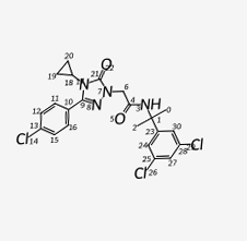 CC(C)(NC(=O)Cn1nc(-c2ccc(Cl)cc2)n(C2CC2)c1=O)c1cc(Cl)cc(Cl)c1